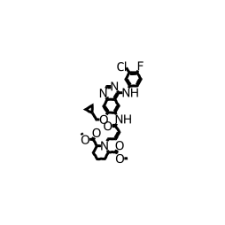 COC(=O)C1CCCC(C(=O)OC)N1C/C=C\C(=O)Nc1cc2c(Nc3ccc(F)c(Cl)c3)ncnc2cc1OCC1CC1